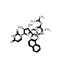 CC(C)OC(=O)[C@H](C)NP(=O)(OC[C@@]1(C(F)F)O[C@@H](n2ccc(=O)[nH]c2=O)[C@@H](O)[C@@H]1O)Oc1cccc2ccccc12